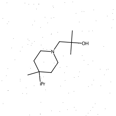 CC(C)C1(C)CCN(CC(C)(C)O)CC1